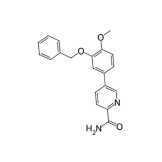 COc1ccc(-c2ccc(C(N)=O)nc2)cc1OCc1ccccc1